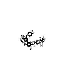 COc1cc(F)c(-c2cc(CN3CCC(F)(F)CC3)c3c(N)ncnn23)cc1C(=O)N[C@@H]1CN(C(=O)[C@@](C)(O)C(F)(F)F)C[C@@H]1F